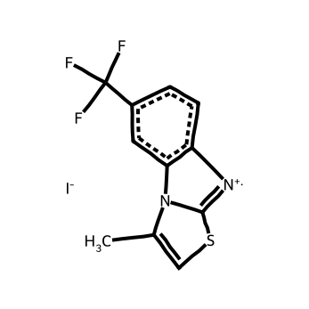 CC1=CSC2=[N+]c3ccc(C(F)(F)F)cc3N12.[I-]